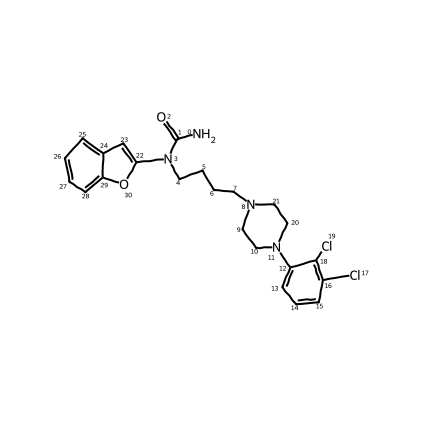 NC(=O)N(CCCCN1CCN(c2cccc(Cl)c2Cl)CC1)c1cc2ccccc2o1